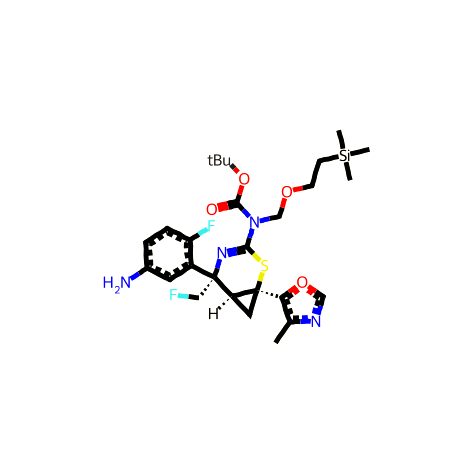 Cc1ncoc1[C@]12C[C@H]1[C@@](CF)(c1cc(N)ccc1F)N=C(N(COCC[Si](C)(C)C)C(=O)OC(C)(C)C)S2